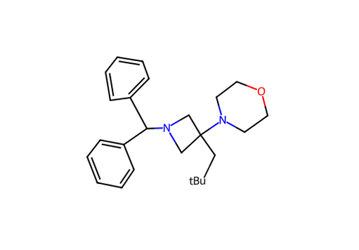 CC(C)(C)CC1(N2CCOCC2)CN(C(c2ccccc2)c2ccccc2)C1